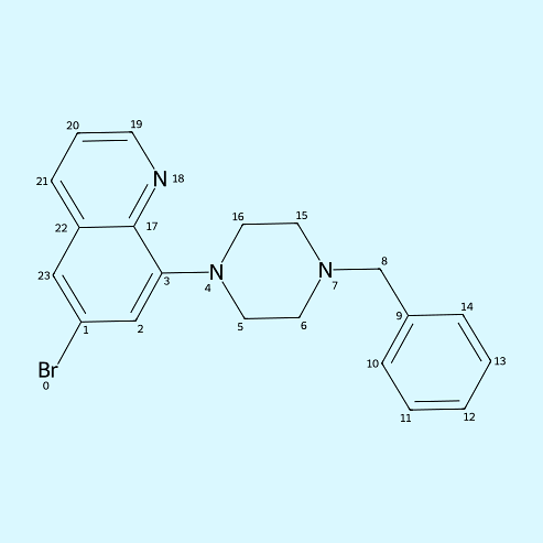 Brc1cc(N2CCN(Cc3ccccc3)CC2)c2ncccc2c1